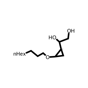 CCCCCCCCCOC1C[C]1C(O)CO